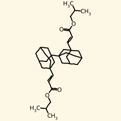 CC(C)COC(=O)C=CC12CC3CC(C1)CC(C14CC5CC(CC(C=CC(=O)OCC(C)C)(C5)C1)C4)(C3)C2